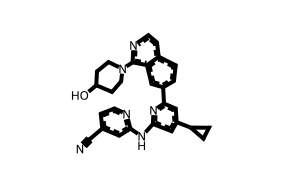 N#Cc1ccnc(Nc2cc(C3CC3)cc(-c3ccc4ccnc(N5CCC(O)CC5)c4c3)n2)c1